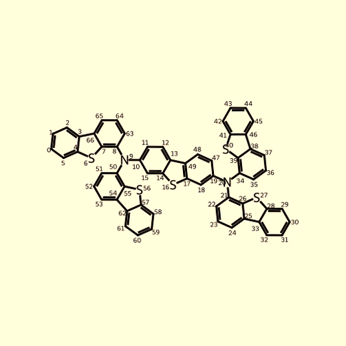 c1ccc2c(c1)sc1c(N(c3ccc4c(c3)sc3cc(N(c5cccc6c5sc5ccccc56)c5cccc6c5sc5ccccc56)ccc34)c3cccc4c3sc3ccccc34)cccc12